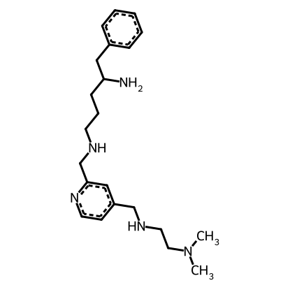 CN(C)CCNCc1ccnc(CNCCCC(N)Cc2ccccc2)c1